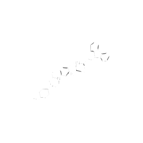 COC1CCC(N2CCN(c3ccc(C[C@H](NC(=O)OCC4c5ccccc5-c5ccccc54)C(=O)O)cc3)C(O)C2)CC1